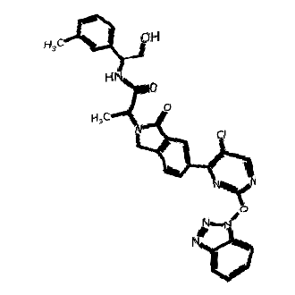 Cc1cccc([C@@H](CO)NC(=O)C(C)N2Cc3ccc(-c4nc(On5nnc6ccccc65)ncc4Cl)cc3C2=O)c1